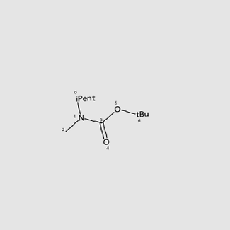 CCCC(C)N(C)C(=O)OC(C)(C)C